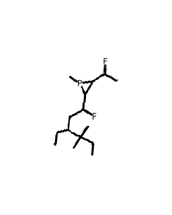 CCC(CC(F)C1C(C(C)F)P1C)C(C)(C)CC